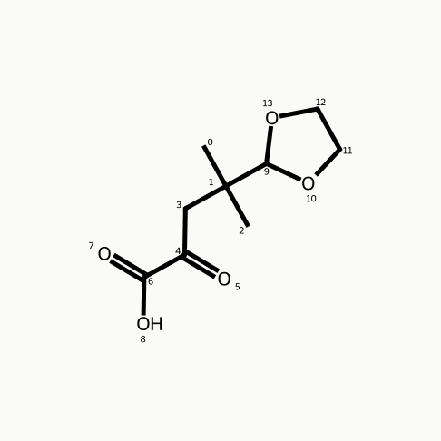 CC(C)(CC(=O)C(=O)O)C1OCCO1